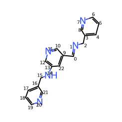 C(=N\Cc1cccnc1)/c1cncc(NCc2cccnc2)c1